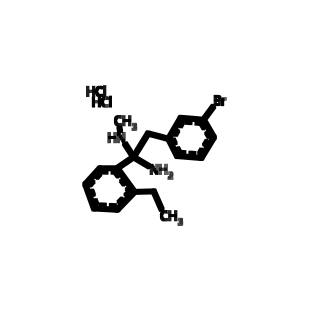 CCc1ccccc1C(N)(Cc1cccc(Br)c1)NC.Cl.Cl